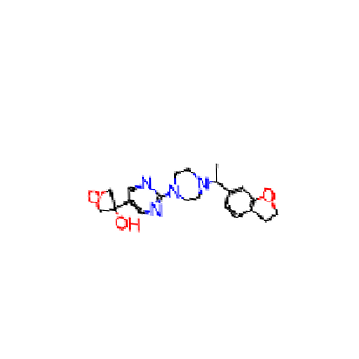 CC(c1ccc2c(c1)OCC2)N1CCN(c2ncc(C3(O)COC3)cn2)CC1